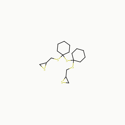 C1CCC(SCC2CS2)(SC2(SCC3CS3)CCCCC2)CC1